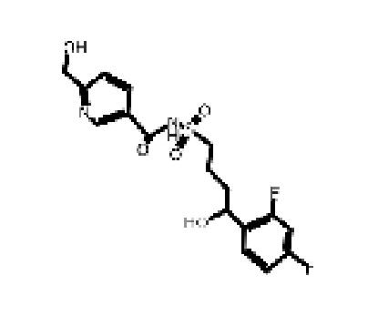 O=C(NS(=O)(=O)CCCC(O)c1ccc(F)cc1F)c1ccc(CO)nc1